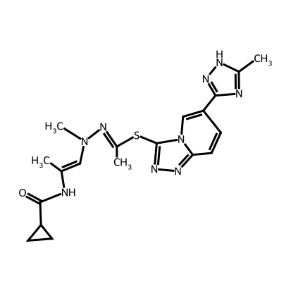 C/C(=C\N(C)/N=C(\C)Sc1nnc2ccc(-c3n[nH]c(C)n3)cn12)NC(=O)C1CC1